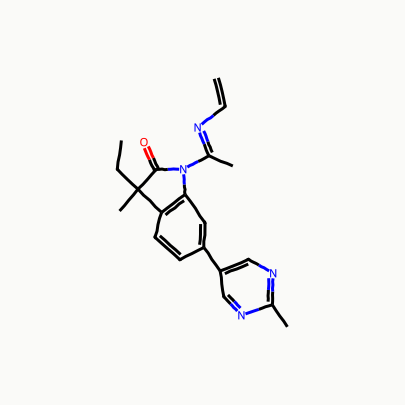 C=C/N=C(\C)N1C(=O)C(C)(CC)c2ccc(-c3cnc(C)nc3)cc21